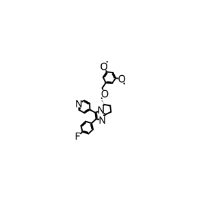 COc1cc(COC[C@@H]2CCc3nc(-c4ccc(F)cc4)c(-c4ccncc4)n32)cc(OC)c1